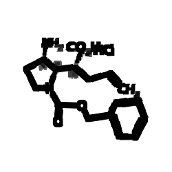 C=CC[C@@H](C(=O)O)[C@@H]1[C@@H](N)CCN1C(=O)OCc1ccccc1.Cl